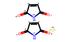 O=C1C=CC(=O)N1.O=C1C=CC(=O)N1.S